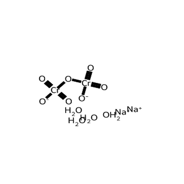 O.O.O.O.[Na+].[Na+].[O]=[Cr](=[O])([O-])[O][Cr](=[O])(=[O])[O-]